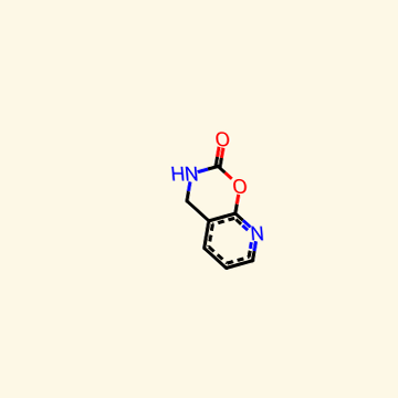 O=C1NCc2cccnc2O1